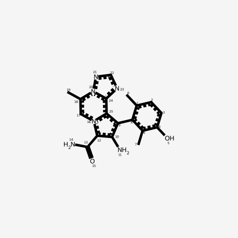 Cc1ccc(O)c(C)c1-c1c(N)c(C(N)=O)n2cc(C)n3ncnc3c12